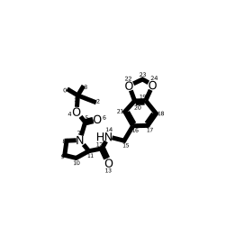 CC(C)(C)OC(=O)N1CCCC1C(=O)NCc1ccc2c(c1)OCO2